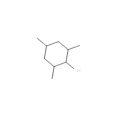 CC1CC(C)C(S)C(C)C1